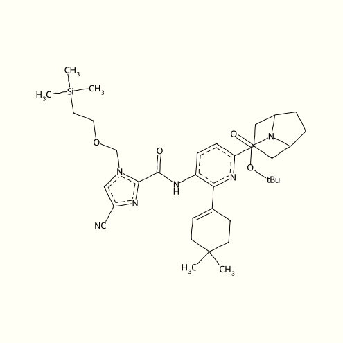 CC1(C)CC=C(c2nc(C3CC4CCC(C3)N4C(=O)OC(C)(C)C)ccc2NC(=O)c2nc(C#N)cn2COCC[Si](C)(C)C)CC1